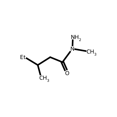 CCC(C)CC(=O)N(C)N